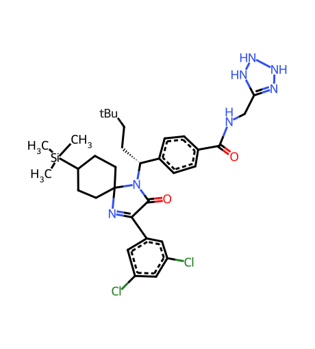 CC(C)(C)CC[C@H](c1ccc(C(=O)NCC2=NNNN2)cc1)N1C(=O)C(c2cc(Cl)cc(Cl)c2)=NC12CCC([Si](C)(C)C)CC2